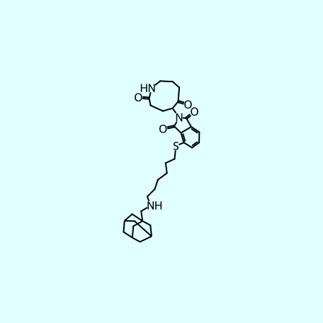 O=C1CCC(N2C(=O)c3cccc(SCCCCCCNCC45CC6CC(CC(C6)C4)C5)c3C2=O)C(=O)CCCN1